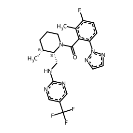 Cc1c(F)ccc(-n2nccn2)c1C(=O)N1CCC[C@@H](C)[C@H]1CNc1ncc(C(F)(F)F)cn1